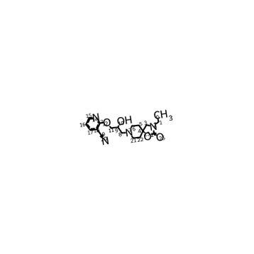 CCN1CC2(CCN(CC(O)COc3ncccc3C#N)CC2)OC1=O